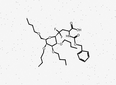 CCCCOC[C@H]1O[C@@H](C(F)(F)CC(NC(=O)OCc2ccccc2)C(=O)O)[C@H](OCCCC)[C@@H](OCCCC)[C@H]1OCCCC